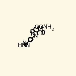 NC(=O)[C@@H]1CCCN1C1=COCC2=C3C1=CN=C(c1ccc(-c4nc[nH]n4)cc1)N3CC2